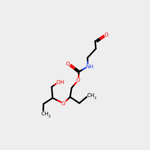 CCC(CO)OC(CC)COC(=O)NCCC=O